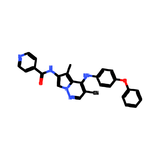 Cc1c(NC(=O)c2ccncc2)cn2ncc(C#N)c(Nc3ccc(Oc4ccccc4)cc3)c12